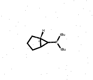 CC(C)(C)P(C1C2CCC[C@@H]21)C(C)(C)C